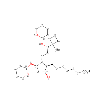 CCCCC1([C@@H](CC[C@@H]2[C@@H](CCCCCCC(=O)O)[C@@H](O)C[C@H]2OC2CCCCO2)OC2CCCCO2)CCC1